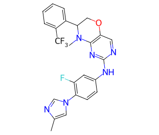 Cc1cn(-c2ccc(Nc3ncc4c(n3)N(C)C(c3ccccc3C(F)(F)F)CO4)cc2F)cn1